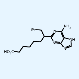 CC(C)CC(CCCCCC(=O)O)c1nc(N)c2[nH]cnc2n1